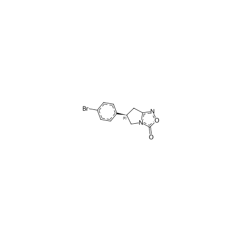 O=c1onc2n1C[C@@H](c1ccc(Br)cc1)C2